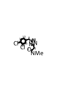 CNC(=O)Cc1nnn(Cc2ccc(Cl)c(Cl)c2)n1